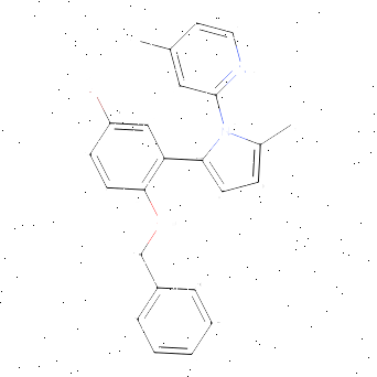 CCOC(=O)c1ccnc(-n2c(C)ccc2-c2cc(Br)ccc2OCc2ccccc2)c1